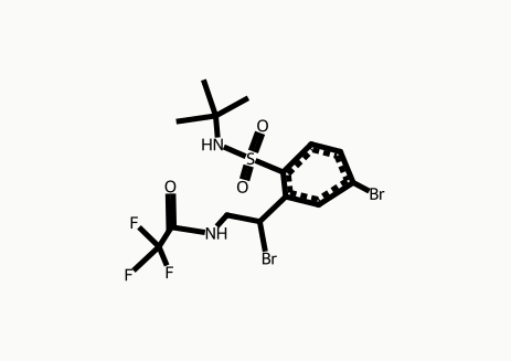 CC(C)(C)NS(=O)(=O)c1ccc(Br)cc1C(Br)CNC(=O)C(F)(F)F